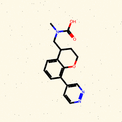 CN(CC1CCOc2c(-c3ccnnc3)cccc21)C(=O)O